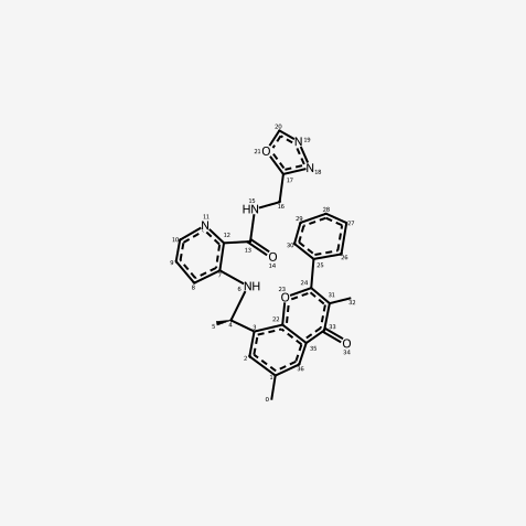 Cc1cc([C@@H](C)Nc2cccnc2C(=O)NCc2nnco2)c2oc(-c3ccccc3)c(C)c(=O)c2c1